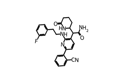 N#Cc1ccccc1-c1ccc(C(C(N)=O)C2CCCC(=O)N2)c(NCCc2cccc(F)c2)n1